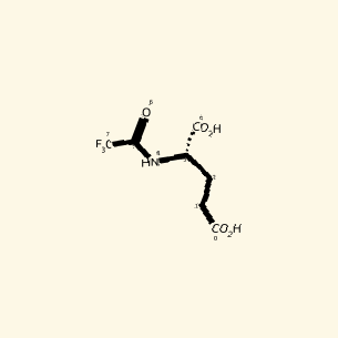 O=C(O)CC[C@H](NC(=O)C(F)(F)F)C(=O)O